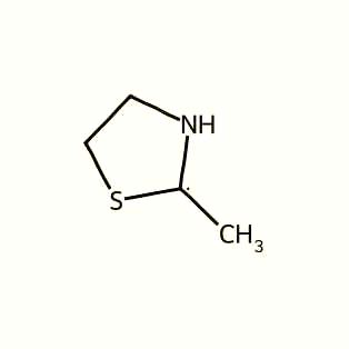 C[C]1NCCS1